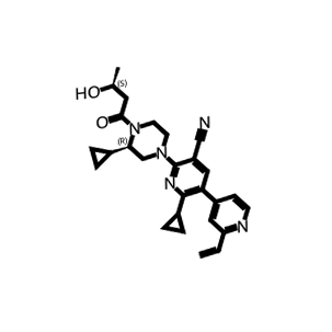 C=Cc1cc(-c2cc(C#N)c(N3CCN(C(=O)C[C@H](C)O)[C@H](C4CC4)C3)nc2C2CC2)ccn1